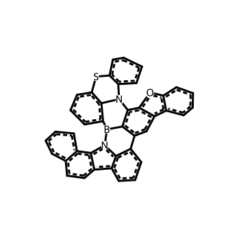 c1ccc2c(c1)Sc1cccc3c1N2c1c2c(cc4c1oc1ccccc14)-c1cccc4c5ccc6ccccc6c5n(c14)B32